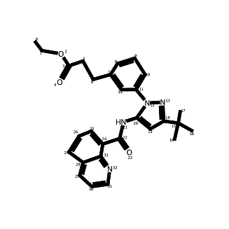 CCOC(=O)CCc1cccc(-n2nc(C(C)(C)C)cc2NC(=O)c2cccc3cccnc23)c1